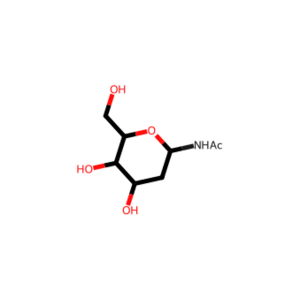 CC(=O)N[C]1CC(O)C(O)C(CO)O1